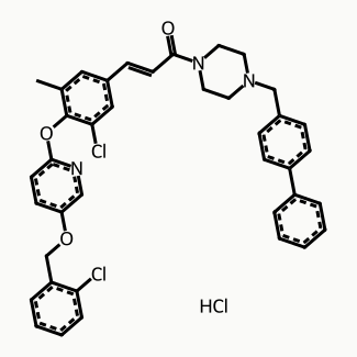 Cc1cc(/C=C/C(=O)N2CCN(Cc3ccc(-c4ccccc4)cc3)CC2)cc(Cl)c1Oc1ccc(OCc2ccccc2Cl)cn1.Cl